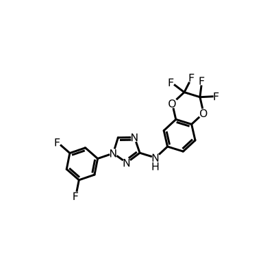 Fc1cc(F)cc(-n2cnc(Nc3ccc4c(c3)OC(F)(F)C(F)(F)O4)n2)c1